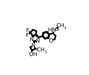 CSNC1CCOc2cc(-c3nc(N4CC(O)[C@@H]4C)nc4c3CCC4(F)F)ccc21